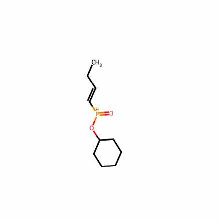 CCC=C[PH](=O)OC1CCCCC1